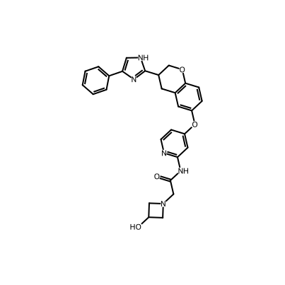 O=C(CN1CC(O)C1)Nc1cc(Oc2ccc3c(c2)CC(c2nc(-c4ccccc4)c[nH]2)CO3)ccn1